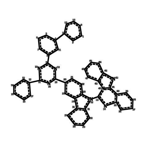 c1ccc(-c2cccc(-c3nc(-c4ccccc4)nc(-c4ccc5c(c4)c4ccccc4n5-c4nc5ccccc5c5nc6ccccc6n45)n3)c2)cc1